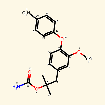 CCCOc1cc(CC(C)(C)OC(N)=O)ccc1Oc1ccc([N+](=O)[O-])cc1